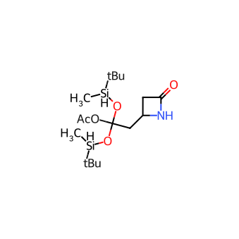 CC(=O)OC(CC1CC(=O)N1)(O[SiH](C)C(C)(C)C)O[SiH](C)C(C)(C)C